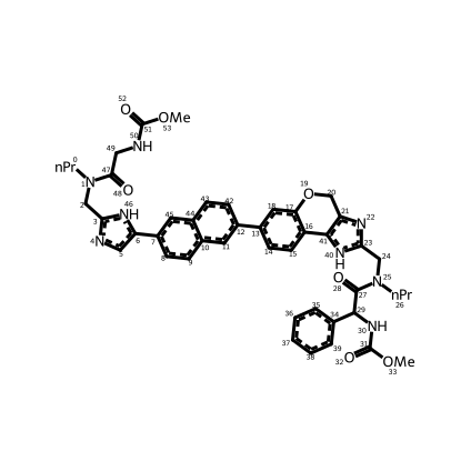 CCCN(Cc1ncc(-c2ccc3cc(-c4ccc5c(c4)OCc4nc(CN(CCC)C(=O)C(NC(=O)OC)c6ccccc6)[nH]c4-5)ccc3c2)[nH]1)C(=O)CNC(=O)OC